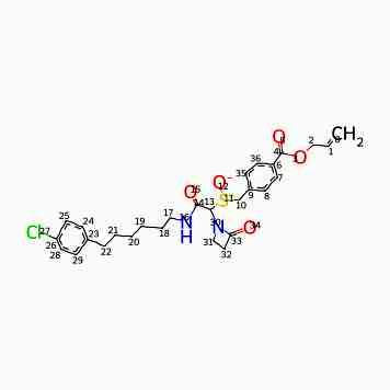 C=CCOC(=O)c1ccc(C[S+]([O-])C(C(=O)NCCCCCCc2ccc(Cl)cc2)N2CCC2=O)cc1